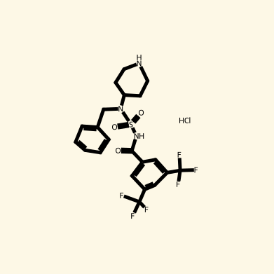 Cl.O=C(NS(=O)(=O)N(Cc1ccccc1)C1CCNCC1)c1cc(C(F)(F)F)cc(C(F)(F)F)c1